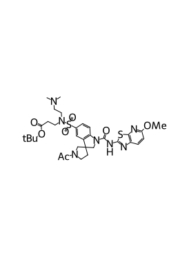 COc1ccc2nc(NC(=O)N3CC4(CCN(C(C)=O)C4)c4cc(S(=O)(=O)N(CCC(=O)OC(C)(C)C)CCN(C)C)ccc43)sc2n1